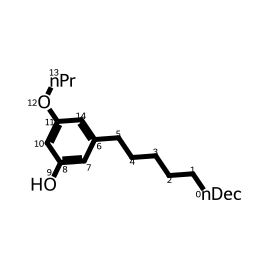 CCCCCCCCCCCCCCCc1cc(O)cc(OCCC)c1